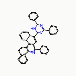 C1=CC2C(C3=NC(c4ccccc4)=NC(c4ccccc4)N3)=Cc3c(-c4ccccc4)nc4c(ccc5ccccc54)c3C2C=C1